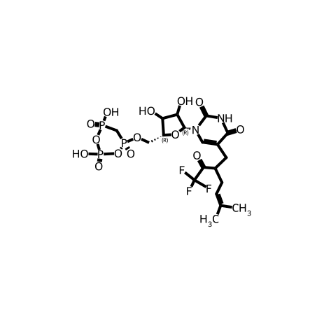 CC(C)=CCC(Cc1cn([C@@H]2O[C@H](COP3(=O)CP(=O)(O)OP(=O)(O)O3)C(O)C2O)c(=O)[nH]c1=O)C(=O)C(F)(F)F